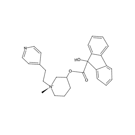 C[N@+]1(CCc2ccncc2)CCCC(OC(=O)C2(O)c3ccccc3-c3ccccc32)C1